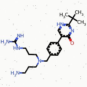 CC(C)(C)c1nc(=O)c(-c2ccc(CN(CCCN)CCCNC(=N)N)cc2)c[nH]1